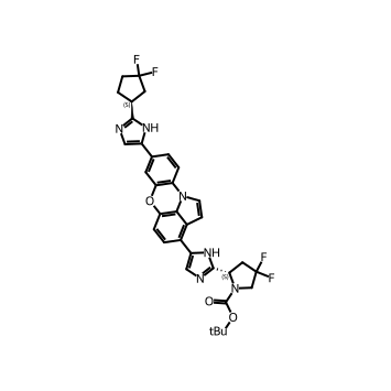 CC(C)(C)OC(=O)N1CC(F)(F)C[C@H]1c1ncc(-c2ccc3c4c2ccn4-c2ccc(-c4cnc([C@H]5CCC(F)(F)C5)[nH]4)cc2O3)[nH]1